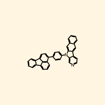 c1ccc2c(c1)-c1cccc3c(-c4ccc(-n5c6cnccc6c6cc7ccccc7cc65)cc4)ccc-2c13